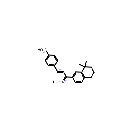 CC1(C)CCCc2ccc(C(/C=C/c3ccc(C(=O)O)cc3)=N/O)cc21